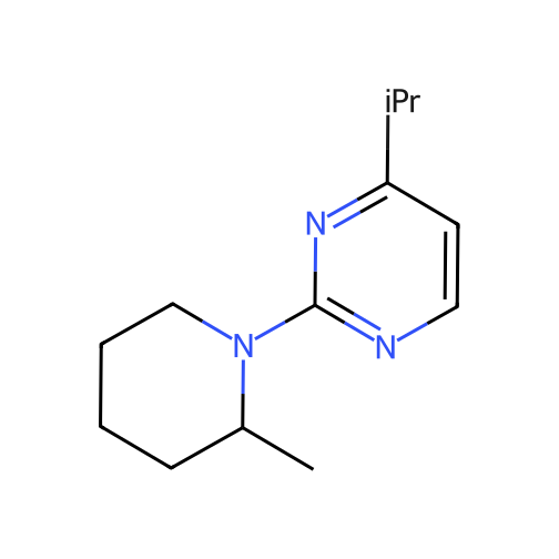 CC(C)c1ccnc(N2CCCCC2C)n1